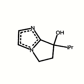 CC(C)C1(O)CCn2ccnc21